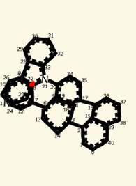 c1cc(-c2ccc(-c3cncnc3)cc2)c2c(-c3ccc(-n4c5ccccc5c5ccccc54)cc3)cccc2c1